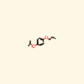 CCCOc1ccc(OC(C)C)cc1